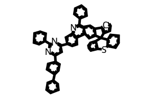 c1ccc(-c2ccc(-c3cc(-c4ccc5c(c4)nc(-c4ccccc4)c4cc6c(cc45)C4(c5ccccc5Sc5ccccc54)c4ccccc4-6)nc(-c4ccccc4)n3)cc2)cc1